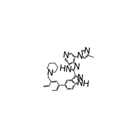 C=C/C(=C\C(=C/C)c1ccc2[nH]nc(-c3nc4c(-n5cnc(C)c5)cncc4[nH]3)c2c1)CN1CCCCC1